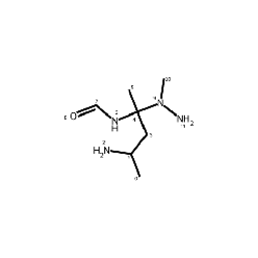 CC(N)CC(C)(NC=O)N(C)N